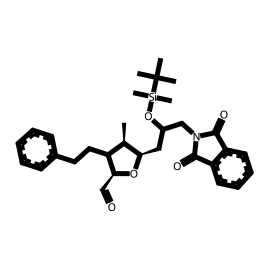 C[C@@H]1C(CCc2ccccc2)[C@H](C=O)O[C@@H]1CC(CN1C(=O)c2ccccc2C1=O)O[Si](C)(C)C(C)(C)C